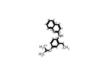 CCc1cc(OC(C)C)ccc1Nc1ccc2ccccc2n1